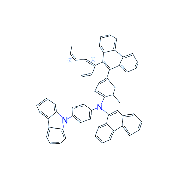 C=C/C(=C\C=C/C)c1c(C2=CC=C(N(c3ccc(-n4c5ccccc5c5ccccc54)cc3)c3cc4ccccc4c4ccccc34)C(C)C2)c2ccccc2c2ccccc12